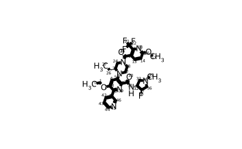 CCOc1cc(N2CCN(C(=O)c3ccc(OC)nc3C(F)(F)F)C[C@H]2CC)c(C(=O)N[C@@H]2CN(C)C[C@H]2F)nc1-c1cccnc1